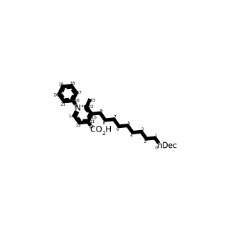 CCCCCCCCCCCCCCCCCCCc1c(C(=O)O)cc[n+](-c2ccccc2)c1C